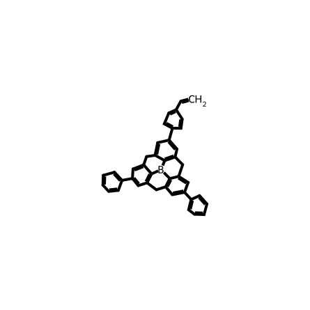 C=Cc1ccc(-c2cc3c4c(c2)Cc2cc(-c5ccccc5)cc5c2B4c2c(cc(-c4ccccc4)cc2C3)C5)cc1